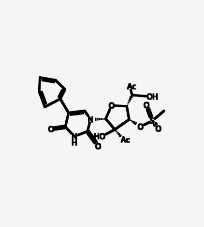 CC(=O)C(O)[C@H]1O[C@@H](n2cc(-c3ccccc3)c(=O)[nH]c2=O)[C@@](O)(C(C)=O)[C@H]1OS(C)(=O)=O